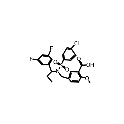 CCC(c1cc(F)cc(F)c1)N(Cc1ccc(OC)c(C(=O)O)c1)S(=O)(=O)c1ccc(Cl)cc1